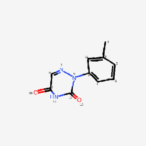 Cc1cccc(-n2ncc(=O)[nH]c2=O)c1